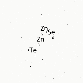 [Se].[Te].[Zn].[Zn]